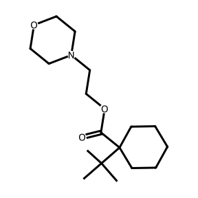 CC(C)(C)C1(C(=O)OCCN2CCOCC2)CCCCC1